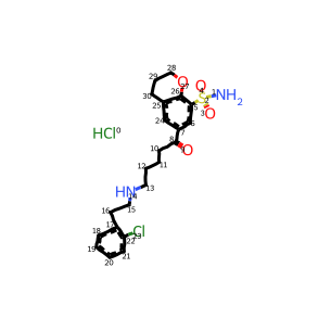 Cl.NS(=O)(=O)c1cc(C(=O)CCCCNCCc2ccccc2Cl)cc2c1OCCC2